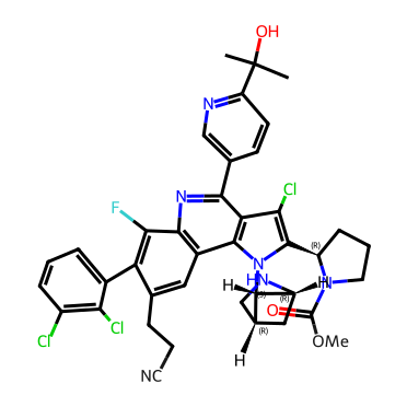 COC(=O)N1CCC[C@@H]1c1c(Cl)c2c(-c3ccc(C(C)(C)O)nc3)nc3c(F)c(-c4cccc(Cl)c4Cl)c(CCC#N)cc3c2n1[C@H]1[C@H]2CN[C@@H]1C2